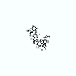 CC(=O)O[C@@H](C(=O)O[C@H](C(=O)O)c1ccccc1)[C@@H](C)C(=O)OC1=CC[C@@]2(O)[C@@H](C)N(C)CC[C@@]23c2c(C)ccc(CO)c2O[C@@H]13